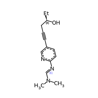 CC[C@@H](O)CC#Cc1ccc(/N=C/N(C)C)nc1